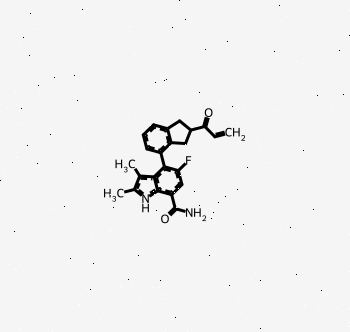 C=CC(=O)C1Cc2cccc(-c3c(F)cc(C(N)=O)c4[nH]c(C)c(C)c34)c2C1